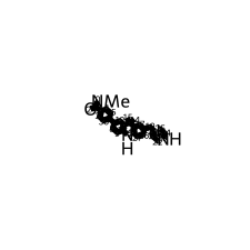 CNC(=O)c1ccc(-c2ccc3c(c2)C(C)(C)c2cc(CN4CCNCC4)ccc2N3)cc1